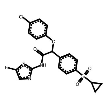 O=C(Nc1n[c]c(F)s1)C(Oc1ccc(Cl)cc1)c1ccc(S(=O)(=O)C2CC2)cc1